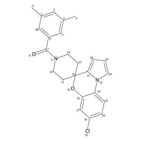 Cc1cc(C)cc(C(=O)N2CCC3(CC2)Oc2cc(Cl)ccc2-n2cccc23)c1